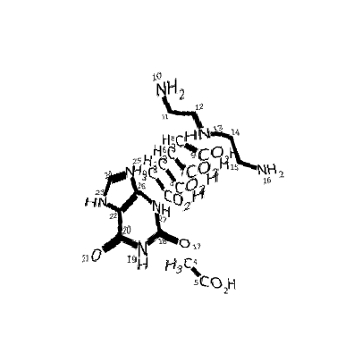 CC(=O)O.CC(=O)O.CC(=O)O.CC(=O)O.CC(=O)O.NCCNCCN.O=c1[nH]c(=O)c2[nH]cnc2[nH]1